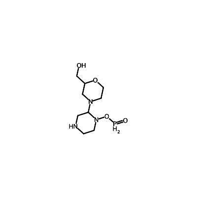 O=[PH2]ON1CCNCC1N1CCOC(CO)C1